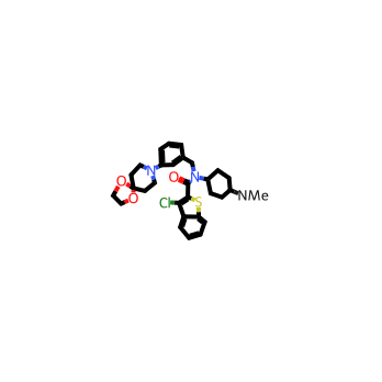 CNC1CCC(N(Cc2cccc(N3CCC4(CC3)OCCO4)c2)C(=O)c2sc3ccccc3c2Cl)CC1